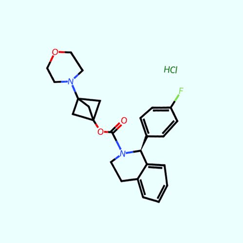 Cl.O=C(OC12CC(N3CCOCC3)(C1)C2)N1CCc2ccccc2[C@@H]1c1ccc(F)cc1